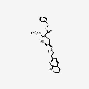 N=C/C(=C\NCCc1ccc2c(n1)NCCC2)CN(CCC(=O)O)C(=O)OCc1ccccc1